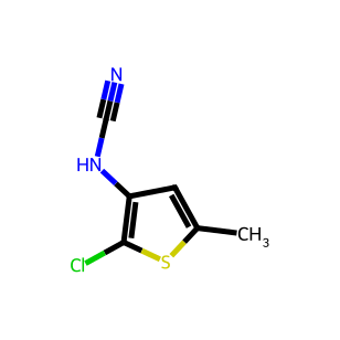 Cc1cc(NC#N)c(Cl)s1